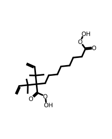 C=CC(C)(C)C(CCCCCCCC(=O)OO)(C(=O)OO)C(C)(C)C=C